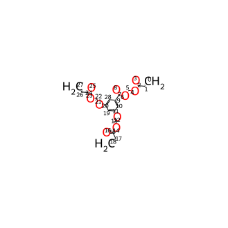 C=CC(=O)OCOC(=O)c1cc(OCOC(=O)C=C)cc(OCOC(=O)C=C)c1